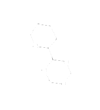 C1CCC(C2OCOCO2)OC1